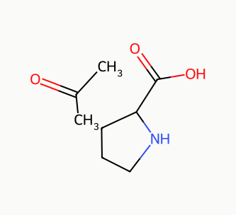 CC(C)=O.O=C(O)C1CCCN1